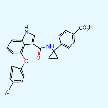 O=C(O)c1ccc(C2(NC(=O)c3c[nH]c4cccc(Oc5ccc(C(F)(F)F)cc5)c34)CC2)cc1